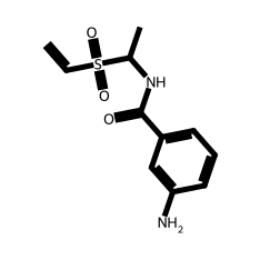 C=CS(=O)(=O)C(C)NC(=O)c1cccc(N)c1